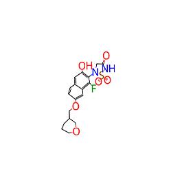 O=C1CN(c2c(O)cc3ccc(OCC4CCCOC4)cc3c2F)S(=O)(=O)N1